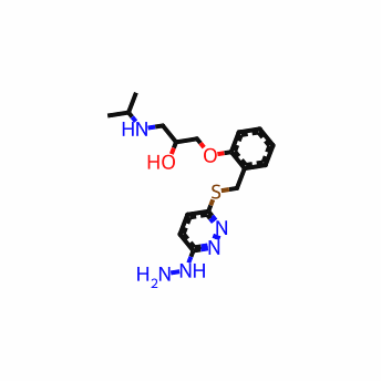 CC(C)NCC(O)COc1ccccc1CSc1ccc(NN)nn1